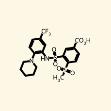 CS(=O)(=O)c1ccc(C(=O)O)cc1S(=O)(=O)Nc1cc(C(F)(F)F)ccc1N1CCCCC1